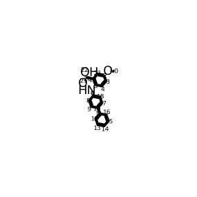 COc1ccc(Nc2ccc(-c3ccccc3)cc2)c(C(=O)O)c1